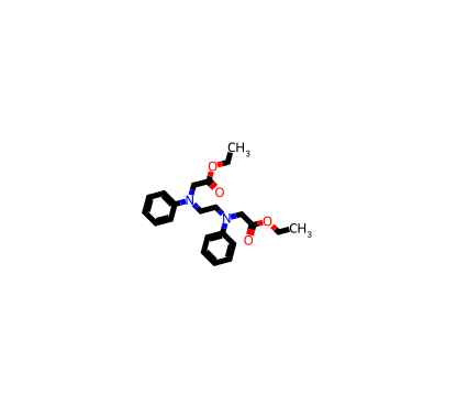 CCOC(=O)CN(CCN(CC(=O)OCC)c1ccccc1)c1ccccc1